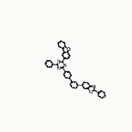 c1ccc(-c2nc(-c3ccc(-c4cccc(-c5ccc6nc(-c7ccccc7)oc6c5)c4)cc3)nc(-c3ccc4oc5ccccc5c4c3)n2)cc1